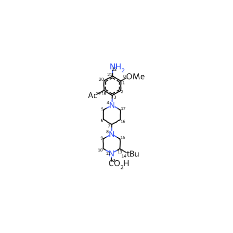 COc1cc(N2CCC(N3CCN(C(=O)O)C(C(C)(C)C)C3)CC2)c(C(C)=O)cc1N